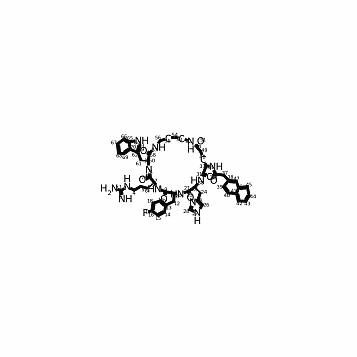 N=C(N)NCCC[C@@H]1NC(=O)C(Cc2ccc(F)cc2)NC(=O)[C@H](Cc2c[nH]cn2)NC(=O)C(NC(=O)Cc2ccc3ccccc3c2)CCC(=O)NCCCCNC(=O)[C@H](Cc2c[nH]c3ccccc23)NC1=O